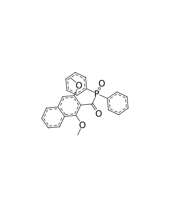 COc1cc2ccccc2c(OC)c1C(=O)P(=O)(c1ccccc1)c1ccccc1